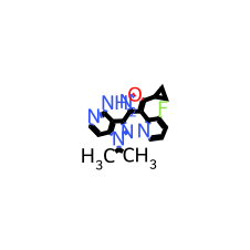 CC(C)n1nc(-c2noc(C3CC3)c2-c2ncccc2F)c2c(N)nccc21